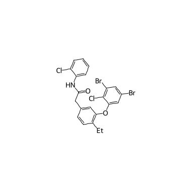 CCc1ccc(CC(=O)Nc2ccccc2Cl)cc1Oc1cc(Br)cc(Br)c1Cl